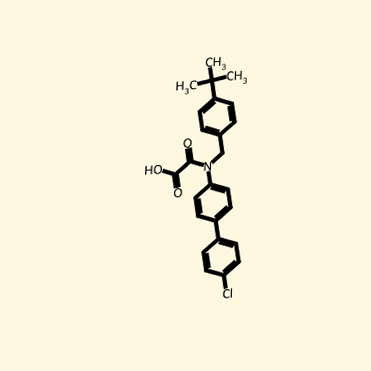 CC(C)(C)c1ccc(CN(C(=O)C(=O)O)c2ccc(-c3ccc(Cl)cc3)cc2)cc1